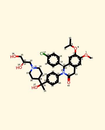 COc1cc2c(cc1OC(C)C)[C@H](c1ccc(Cl)cc1)N(c1ccc(C(C)(O)C3CCN(C[C@@H](O)CO)CC3)cc1)C(=O)C2